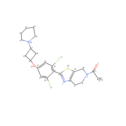 CC(=O)N1CCc2nc(-c3c(F)cc(OC4CC(N5CCCCC5)C4)cc3F)sc2C1